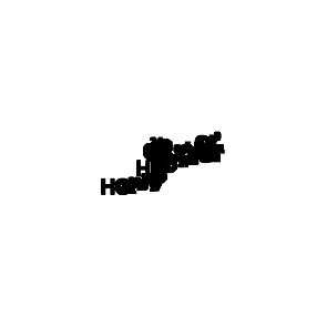 C=C1OB(c2ccc(CC[C@](C)(C(=O)NO[C@H](C)CCCCO)S(C)(=O)=O)cc2)OC1(C)C